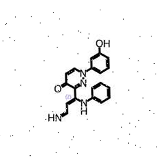 N=C/C=C(\Nc1ccccc1)c1nn(-c2cccc(O)c2)ccc1=O